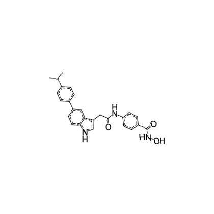 CC(C)c1ccc(-c2ccc3[nH]cc(CC(=O)Nc4ccc(C(=O)NO)cc4)c3c2)cc1